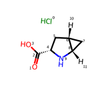 Cl.O=C(O)[C@@H]1C[C@@H]2C[C@@H]2N1